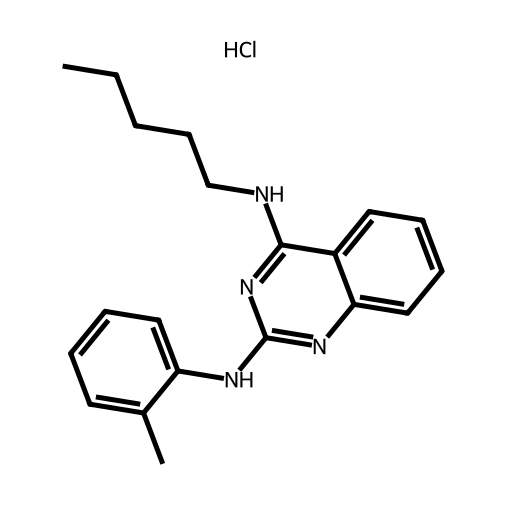 CCCCCNc1nc(Nc2ccccc2C)nc2ccccc12.Cl